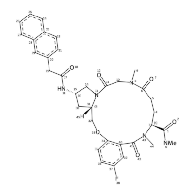 CNC(=O)[C@@H]1CCC(=O)N(C)CC(=O)N2C[C@@H](NC(=O)Cc3ccc4ccccc4c3)C[C@H]2COc2ccc(F)cc2C(=O)N1C